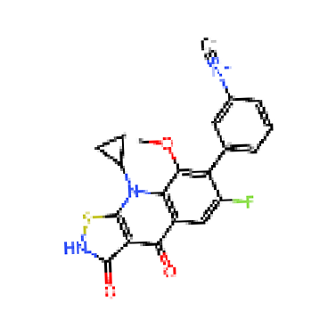 [C-]#[N+]c1cccc(-c2c(F)cc3c(=O)c4c(=O)[nH]sc4n(C4CC4)c3c2OC)c1